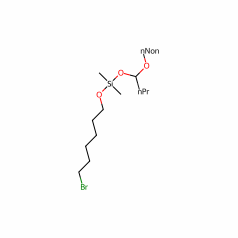 CCCCCCCCCOC(CCC)O[Si](C)(C)OCCCCCCBr